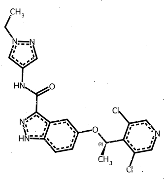 CCn1cc(NC(=O)c2n[nH]c3ccc(O[C@H](C)c4c(Cl)cncc4Cl)cc23)cn1